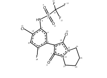 O=c1c(-c2cc(NS(=O)(=O)C(F)(F)F)c(Cl)cc2F)c(Cl)n2n1CCCC2